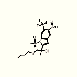 CCCCSCC(C)(O)c1cc2cc([N+](=O)[O-])c(C(F)(F)F)cc2n1S(C)(=O)=O